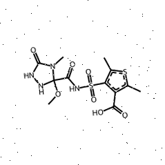 COC1(C(=O)NS(=O)(=O)c2c(C)sc(C)c2C(=O)O)NNC(=O)N1C